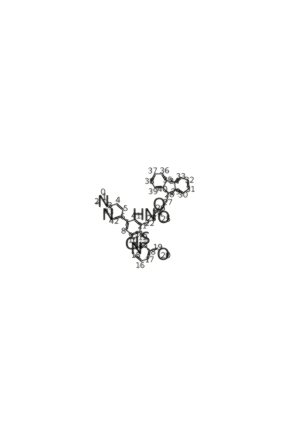 CN(C)c1ccc(-c2cc(Cl)c(Sc3ncccc3C=O)c(CNC(=O)OCC3c4ccccc4-c4ccccc43)c2)cn1